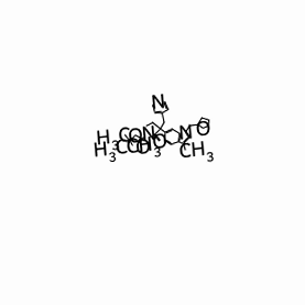 Cc1cn(CC2CCCO2)c2cc(C3(Cc4ccncc4)CCN(C(=O)OC(C)(C)C)C3=O)ccc12